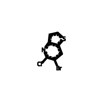 Clc1nc2ccsc2cc1Br